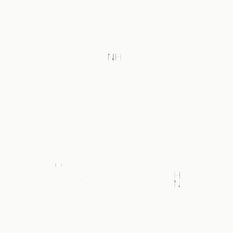 CNCCCC(C)(C)OC(C)(C)CCCNC